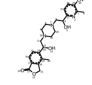 Cc1nc(C(O)CN2CCN(C[C@@H](O)c3ccc4c(c3C)COC4=O)CC2)ccc1C#N